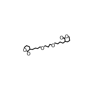 O=C1OCCCC1CCCCOCCCOCCCCC1CCCOC1=O